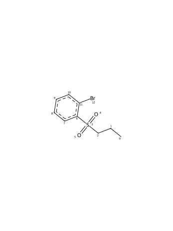 CCCS(=O)(=O)c1ccccc1Br